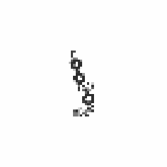 CCCCOC1CCC(C(=O)Oc2ccc(-c3ccc(F)cc3)cc2)CC1